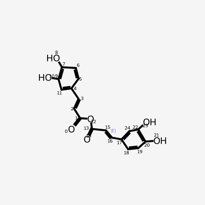 O=C(C=Cc1ccc(O)c(O)c1)OC(=O)/C=C/c1ccc(O)c(O)c1